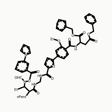 CCCCCC(C(=O)NCNC(=O)c1ccc(-c2ccc(C(=O)NC(CC(=O)OCc3ccccc3)C(=O)OCc3ccccc3)c(OCC)c2)o1)C(CC)N(C=O)OC(=O)c1cccc(-n2cccc2)c1